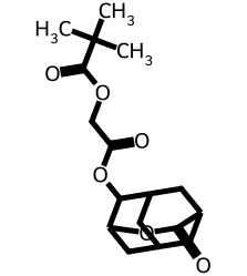 CC(C)(C)C(=O)OCC(=O)OC1C2CC3CC(C2)C(=O)OC1C3